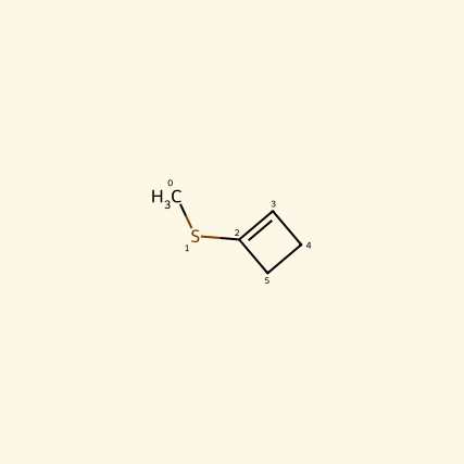 CSC1=CCC1